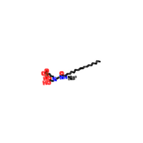 CCCCCCCC/C=C/CCCCCCCC(=O)NCCN(CCO)CC(O)CS(=O)(=O)[O-].[Na+]